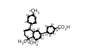 Cc1ccc(C2=CCC(C)(C)c3ccc(-c4ccc(C(=O)O)cc4)cc32)cc1